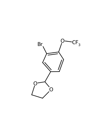 FC(F)(F)Oc1ccc(C2OCCO2)cc1Br